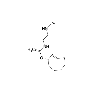 C=C(NCCNC(C)C)O[C@@H]1/C=C/CCCCC1